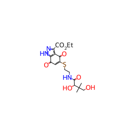 CCOC(=O)c1n[nH]c2c1C(=O)C(SCCNC(=O)[C@H](O)C(C)(C)CO)=CC2=O